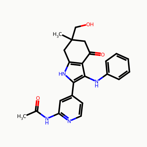 CC(=O)Nc1cc(-c2[nH]c3c(c2Nc2ccccc2)C(=O)CC(C)(CO)C3)ccn1